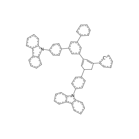 C1=C(c2cc(-c3ccccc3)cc(-c3ccc(-n4c5ccccc5c5ccccc54)cc3)c2)C=C(c2ccccc2)CC1c1ccc(-n2c3ccccc3c3ccccc32)cc1